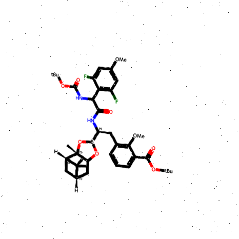 COc1cc(F)c(C(NC(=O)OC(C)(C)C)C(=O)N[C@@H](Cc2cccc(C(=O)OC(C)(C)C)c2OC)B2OC3C[C@@H]4C[C@@H](C4(C)C)[C@]3(C)O2)c(F)c1